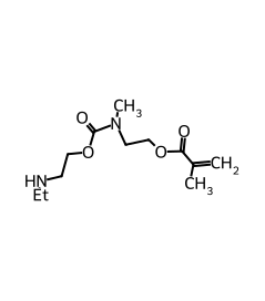 C=C(C)C(=O)OCCN(C)C(=O)OCCNCC